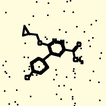 CC(=O)c1cc(-c2ccc(Cl)cc2)c(OCC2CC2)nn1